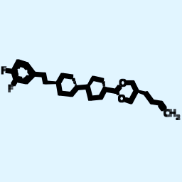 C=CCC[C@H]1CO[C@H]([C@H]2CC[C@H]([C@H]3CC[C@H](CCc4ccc(F)c(F)c4)CC3)CC2)OC1